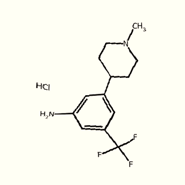 CN1CCC(c2cc(N)cc(C(F)(F)F)c2)CC1.Cl